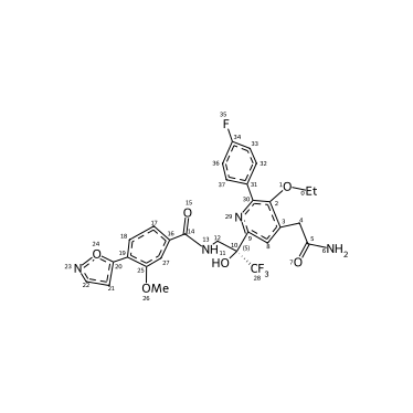 CCOc1c(CC(N)=O)cc([C@@](O)(CNC(=O)c2ccc(-c3ccno3)c(OC)c2)C(F)(F)F)nc1-c1ccc(F)cc1